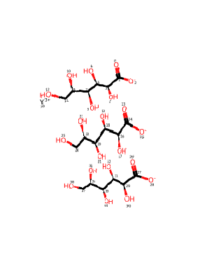 O=C([O-])[C@@H](O)[C@H](O)[C@@H](O)[C@H](O)CO.O=C([O-])[C@@H](O)[C@H](O)[C@@H](O)[C@H](O)CO.O=C([O-])[C@@H](O)[C@H](O)[C@@H](O)[C@H](O)CO.[Y+3]